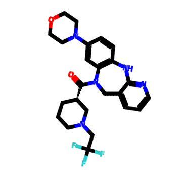 O=C([C@H]1CCCN(CC(F)(F)F)C1)N1Cc2cccnc2Nc2ccc(N3CCOCC3)cc21